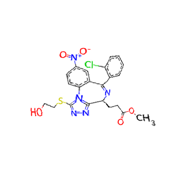 COC(=O)CC[C@@H]1N=C(c2ccccc2Cl)c2cc([N+](=O)[O-])ccc2-n2c(SCCO)nnc21